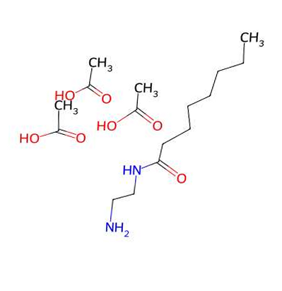 CC(=O)O.CC(=O)O.CC(=O)O.CCCCCCCC(=O)NCCN